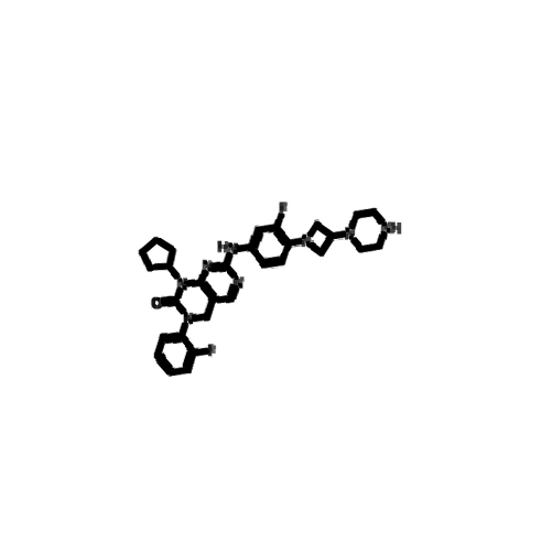 O=C1N(c2ccccc2F)Cc2cnc(Nc3ccc(N4CC(N5CCNCC5)C4)c(F)c3)nc2N1C1CCCC1